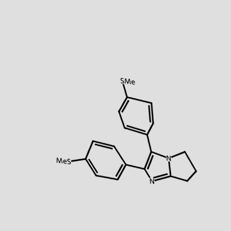 CSc1ccc(-c2nc3n(c2-c2ccc(SC)cc2)CCC3)cc1